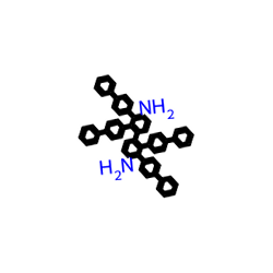 Nc1ccc(-c2ccc(N)c(-c3ccc(-c4ccccc4)cc3)c2-c2ccc(-c3ccccc3)cc2)c(-c2ccc(-c3ccccc3)cc2)c1-c1ccc(-c2ccccc2)cc1